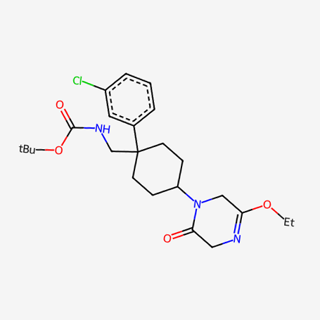 CCOC1=NCC(=O)N(C2CCC(CNC(=O)OC(C)(C)C)(c3cccc(Cl)c3)CC2)C1